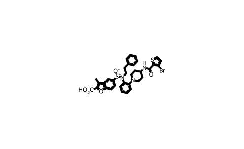 Cc1c(C(=O)O)oc2ccc([S+]([O-])N(CCc3ccccc3)c3ccccc3N3CCC(NC(=O)c4sccc4Br)CC3)cc12